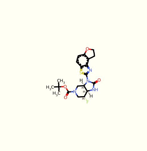 CC(C)(C)OC(=O)N1C[C@@H](F)[C@@H]2NC(=O)N(c3nc4c5c(ccc4s3)OCC5)[C@@H]2C1